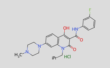 CC(C)Cn1c(=O)c(C(=O)Nc2cccc(F)c2)c(O)c2ccc(N3CCN(C)CC3)cc21.Cl